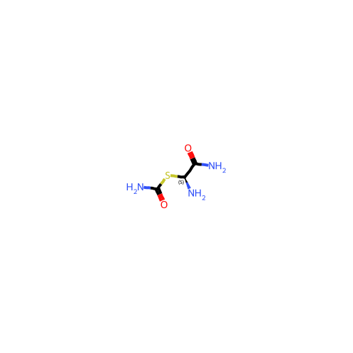 NC(=O)S[C@H](N)C(N)=O